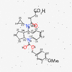 COc1ccc(COC(=O)N2c3ccccc3C(N(C(=O)CCC(=O)O)C3CC3)C3CCCC32)cc1